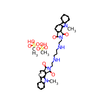 CS(=O)(=O)O.CS(=O)(=O)O.Cn1c2ccccc2c2ccc3c(c21)C(=O)N(CCNCCCNCCN1C(=O)c2ccc4c5ccccc5n(C)c4c2C1=O)C3=O